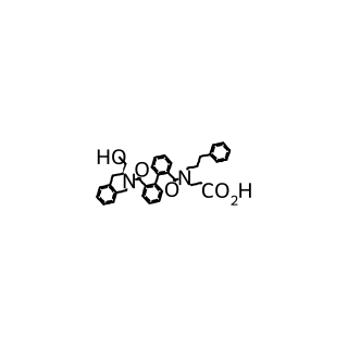 O=C(O)CCN(CCCc1ccccc1)C(=O)c1ccccc1-c1ccccc1C(=O)N1Cc2ccccc2C[C@H]1CO